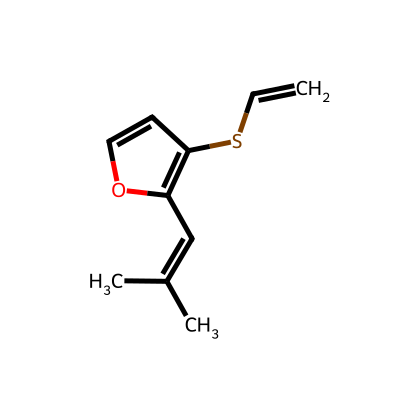 C=CSc1ccoc1C=C(C)C